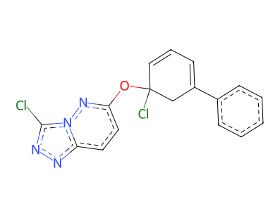 Clc1nnc2ccc(OC3(Cl)C=CC=C(c4ccccc4)C3)nn12